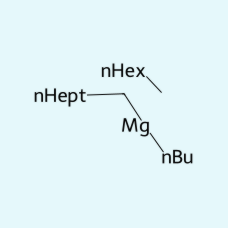 CCCCCCC.CCCCCCC[CH2][Mg][CH2]CCC